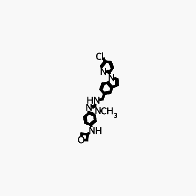 Cn1c(NCc2ccc3c(ccn3-c3ccc(Cl)cn3)c2)nc2ccc(NC3COC3)cc21